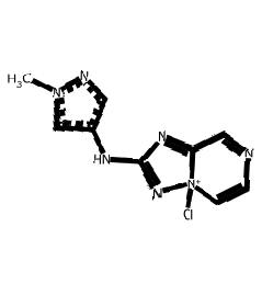 Cn1cc(NC2=N[N+]3(Cl)C=CN=CC3=N2)cn1